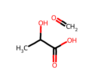 C=O.CC(O)C(=O)O